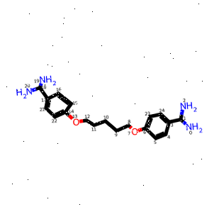 NC(N)c1ccc(OCCCCCOc2ccc(C(N)N)cc2)cc1